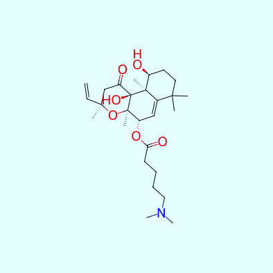 C=C[C@@]1(C)CC(=O)[C@@]2(O)[C@](C)(O1)[C@@H](OC(=O)CCCCN(C)C)C=C1C(C)(C)CC[C@H](O)[C@@]12C